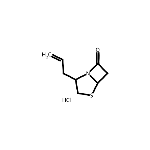 C=CCC1CSC2CC(=O)N12.Cl